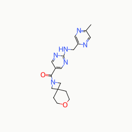 Cc1cnc(CNc2ncc(C(=O)N3CC4(CCOCC4)C3)cn2)cn1